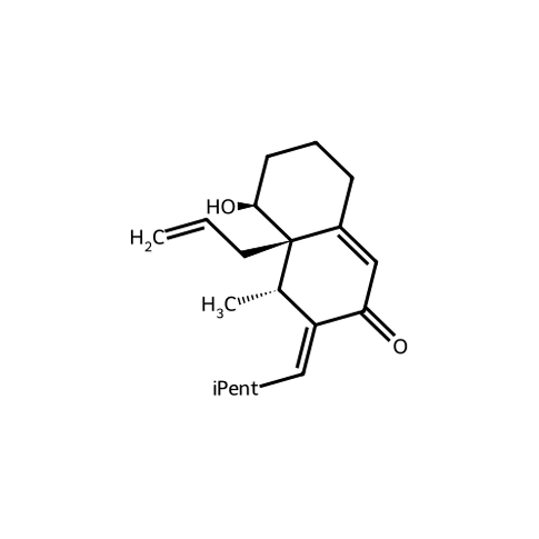 C=CC[C@@]12C(=CC(=O)/C(=C/C(C)CCC)[C@@H]1C)CCC[C@@H]2O